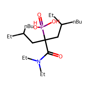 CCCCC(CC)CC(CC(CC)CCCC)(C(=O)N(CC)CC)P(=O)(O)O